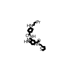 CC(C)CCNc1ccc(C(=O)Nc2n[nH]c3ccc(C(=O)NCc4cccs4)cc23)cc1